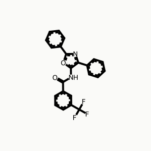 O=C(Nc1oc(-c2ccccc2)nc1-c1ccccc1)c1cccc(C(F)(F)F)c1